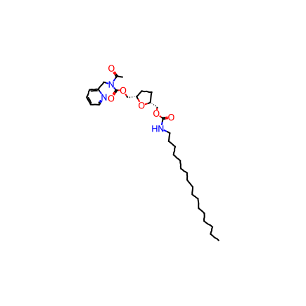 CCCCCCCCCCCCCCCCCNC(=O)OC[C@H]1CC[C@@H](COC(=O)N(Cc2ccccn2)C(C)=O)O1